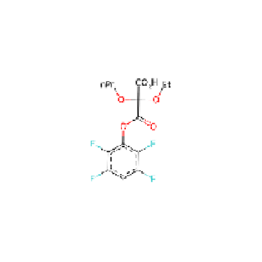 CCCOC(OCC)(C(=O)O)C(=O)Oc1c(F)c(F)cc(F)c1F